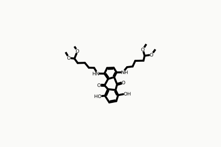 COC(CCCCNc1ccc(NCCCCC(OC)OC)c2c1C(=O)c1c(O)ccc(O)c1C2=O)OC